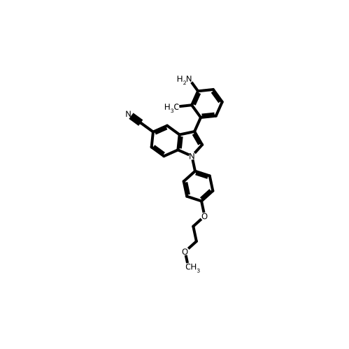 COCCOc1ccc(-n2cc(-c3cccc(N)c3C)c3cc(C#N)ccc32)cc1